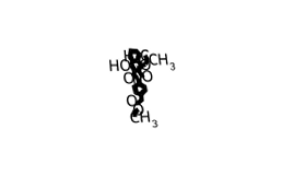 CCOC(=O)Cc1ccc(N2C(=O)c3c(c(OC(C)C)c4ccccc4c3O)C2=O)cc1